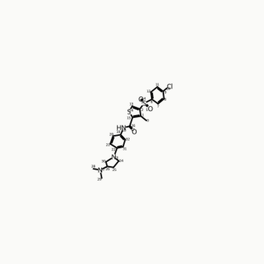 Cc1c(S(=O)(=O)c2ccc(Cl)cc2)csc1C(=O)Nc1ccc(N2CCC(N(C)C)C2)cc1